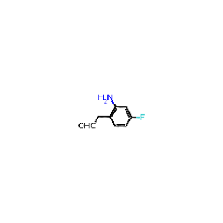 Nc1cc(F)ccc1CC=O